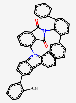 N#Cc1ccccc1-c1ccc2c(c1)c1ccccc1n2-c1cccc2c1C(=O)N(c1c(-c3ccccc3)cccc1-c1ccccc1)C2=O